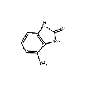 Cc1cc[c]c2[nH]c(=O)[nH]c12